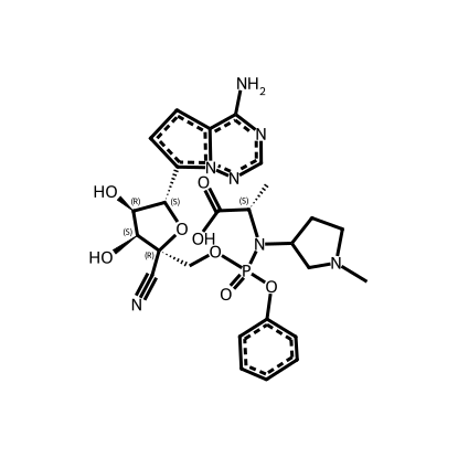 C[C@@H](C(=O)O)N(C1CCN(C)C1)P(=O)(OC[C@@]1(C#N)O[C@@H](c2ccc3c(N)ncnn23)[C@H](O)[C@@H]1O)Oc1ccccc1